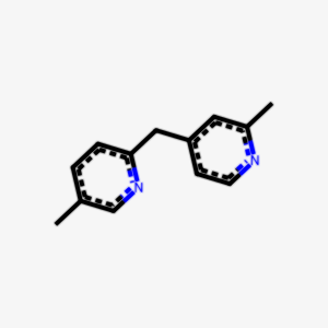 Cc1ccc(Cc2ccnc(C)c2)nc1